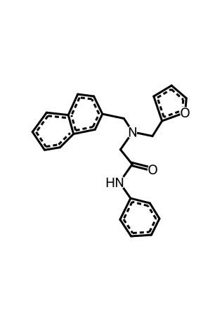 O=C(CN(Cc1ccc2ccccc2c1)Cc1ccco1)Nc1ccccc1